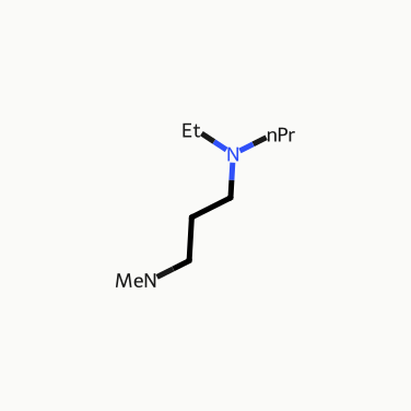 CCCN(CC)CCCNC